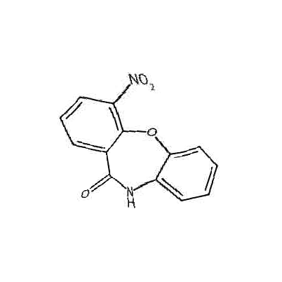 O=C1Nc2ccccc2Oc2c1cccc2[N+](=O)[O-]